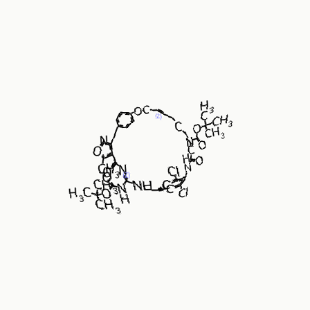 Cc1onc2c1C(=O)/N=C(\NC(=O)OC(C)(C)C)NCc1cc(Cl)c(c(Cl)c1)NC(=O)CN(C(=O)OC(C)(C)C)CCC/C=C\COc1ccc-2cc1